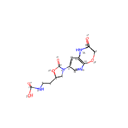 O=C(O)NCCC1CN(c2cnc3c(c2)NC(=O)CO3)C(=O)O1